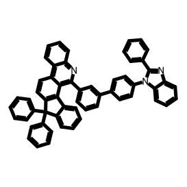 c1ccc(-c2nc3ccccc3n2-c2ccc(-c3cccc(-c4nc5ccccc5c5ccc6c(c45)-c4ccccc4C6(c4ccccc4)c4ccccc4)c3)cc2)cc1